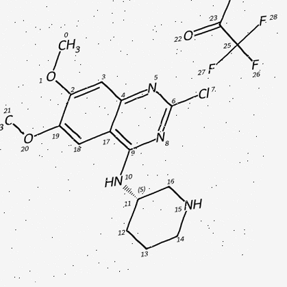 COc1cc2nc(Cl)nc(N[C@H]3CCCNC3)c2cc1OC.O=C(O)C(F)(F)F